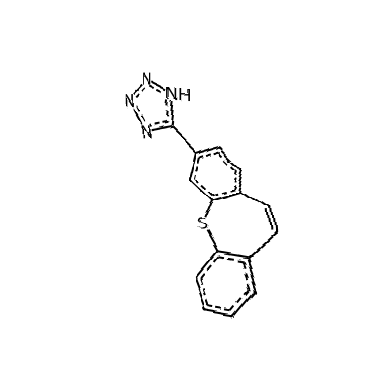 C1=Cc2ccc(-c3nnn[nH]3)cc2Sc2ccccc21